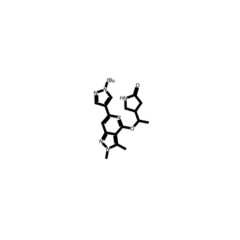 Cc1c2c(OC(C)C3CNC(=O)C3)nc(-c3cnn(C(C)(C)C)c3)cc2nn1C